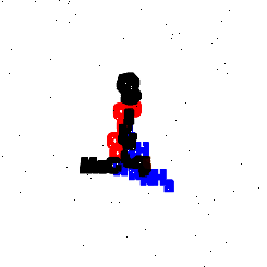 CO/N=C(\C(=O)N[C@H]1CN(OCC(=O)OC2Cc3ccccc3C2)C1=O)c1csc(N)n1